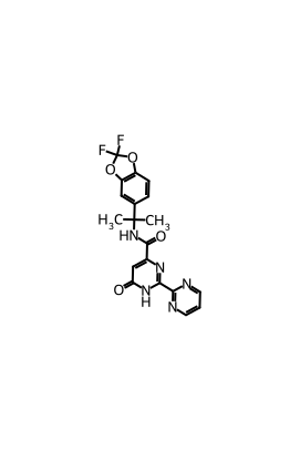 CC(C)(NC(=O)c1cc(=O)[nH]c(-c2ncccn2)n1)c1ccc2c(c1)OC(F)(F)O2